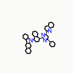 c1ccc(-c2cc(-c3ccc4ccccc4n3)nc(-c3ccc(-n4c5ccccc5c5cc6ccccc6cc54)c4ccccc34)n2)cc1